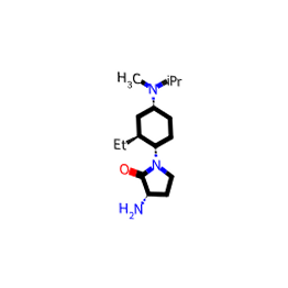 CC[C@H]1C[C@H](N(C)C(C)C)CC[C@@H]1N1CC[C@H](N)C1=O